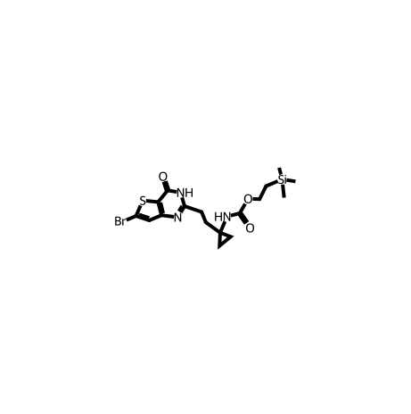 C[Si](C)(C)CCOC(=O)NC1(CCc2nc3cc(Br)sc3c(=O)[nH]2)CC1